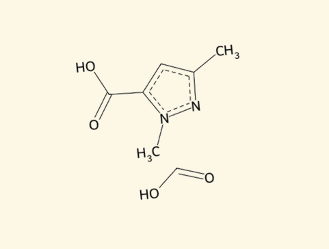 Cc1cc(C(=O)O)n(C)n1.O=CO